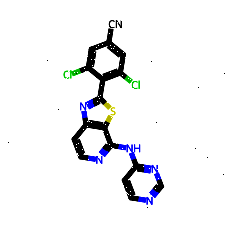 N#Cc1cc(Cl)c(-c2nc3ccnc(Nc4ccncn4)c3s2)c(Cl)c1